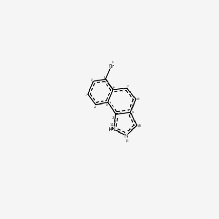 Brc1cccc2c1ccc1cn[nH]c12